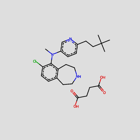 CN(c1ccc(CCC(C)(C)C)nc1)c1c(Cl)ccc2c1CCNCC2.O=C(O)CCC(=O)O